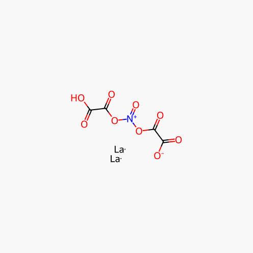 O=C([O-])C(=O)O[N+](=O)OC(=O)C(=O)O.[La].[La]